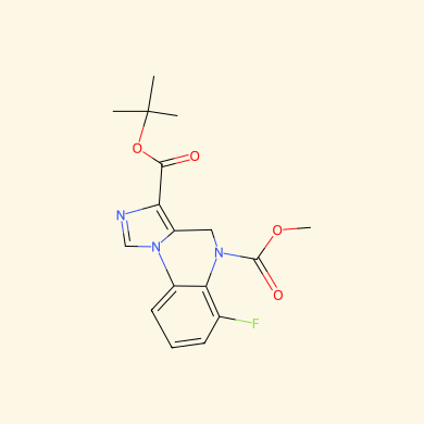 COC(=O)N1Cc2c(C(=O)OC(C)(C)C)ncn2-c2cccc(F)c21